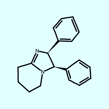 c1ccc([C@@H]2[C@H](c3ccccc3)N=C3CCCCN32)cc1